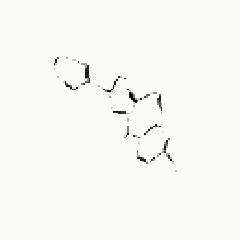 O=c1c2ccc(Br)cc2ccc2ncc(-c3ccccc3)cc12